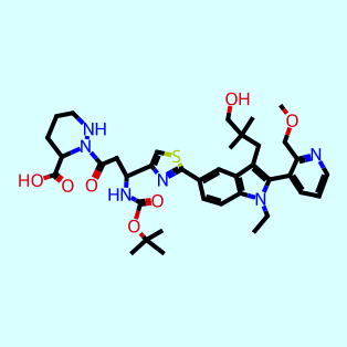 CCn1c(-c2cccnc2COC)c(CC(C)(C)CO)c2cc(-c3nc(C(CC(=O)N4NCCCC4C(=O)O)NC(=O)OC(C)(C)C)cs3)ccc21